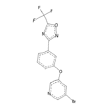 FC(F)(F)c1nc(-c2cc[c]c(Oc3cncc(Br)c3)c2)no1